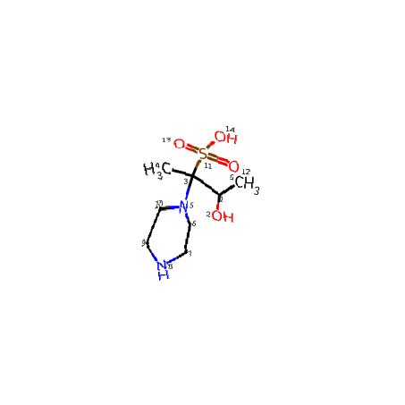 CC(O)C(C)(N1CCNCC1)S(=O)(=O)O